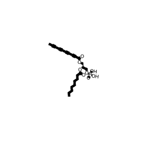 CC#CC#CC#CC#CC(=O)OC[C@@H](COP(=O)(O)O)OC(=O)CCCCCCCC